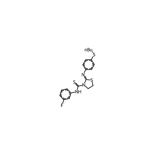 CCCCSc1ccc(N=C2SCCN2C(=S)Nc2cccc(F)c2)cc1